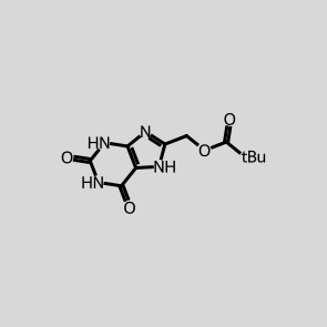 CC(C)(C)C(=O)OCc1nc2[nH]c(=O)[nH]c(=O)c2[nH]1